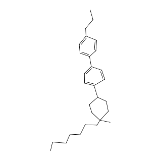 CCCCCCCC1(C)CCC(c2ccc(-c3ccc(CCC)cc3)cc2)CC1